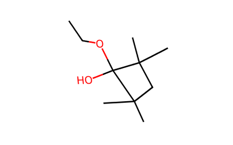 CCOC1(O)C(C)(C)CC1(C)C